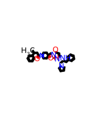 CC(CC(=O)N1CCC(O)(Cn2cnc(NC(Cc3ccccc3)CN3CCCC3)cc2=O)CC1)c1ccccc1